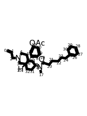 C=CCN1CC[C@@]2(c3cccc(OC(C)=O)c3)C[C@H](N(C)C(=O)CCCCCc3ccccc3)CC[C@@H]2C1